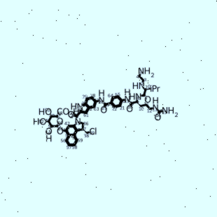 CC(C)[C@H](NCCN)C(=O)N[C@@H](CCCNC(N)=O)C(=O)Nc1ccc(C(=O)Nc2ccc3[nH]c(C(=O)N4C[C@@H](CCl)c5c4cc(O[C@H]4O[C@H](C(=O)O)[C@@H](O)[C@H](O)[C@H]4O)c4ccccc54)cc3c2)cc1